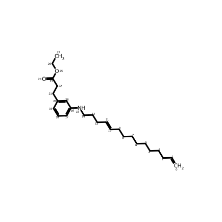 C=CCCCCCCCCC=CCCCNc1cccc(CCC(=O)OCC)c1